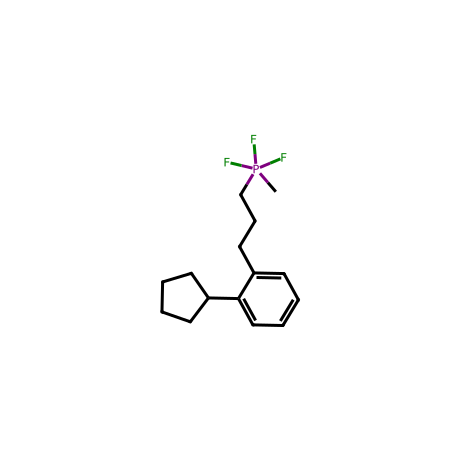 CP(F)(F)(F)CCCc1ccccc1C1CCCC1